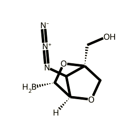 B[C@@H]1O[C@@]2(CO)CO[C@@H]1C2N=[N+]=[N-]